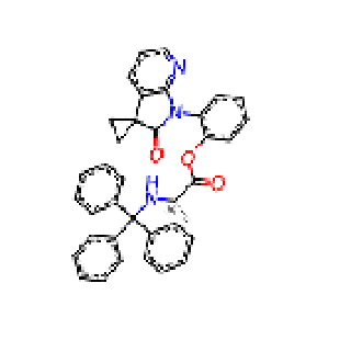 C[C@H](NC(c1ccccc1)(c1ccccc1)c1ccccc1)C(=O)Oc1ccccc1N1C(=O)C2(CC2)c2cccnc21